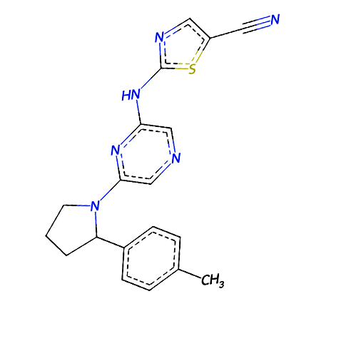 Cc1ccc(C2CCCN2c2cncc(Nc3ncc(C#N)s3)n2)cc1